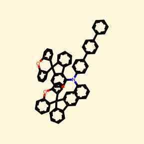 c1ccc(-c2ccc(-c3ccc(N(c4cccc5c4-c4ccccc4C54c5ccccc5Oc5ccccc54)c4cccc5cc6c(cc45)C4(c5ccccc5Oc5ccccc54)c4ccccc4-6)cc3)cc2)cc1